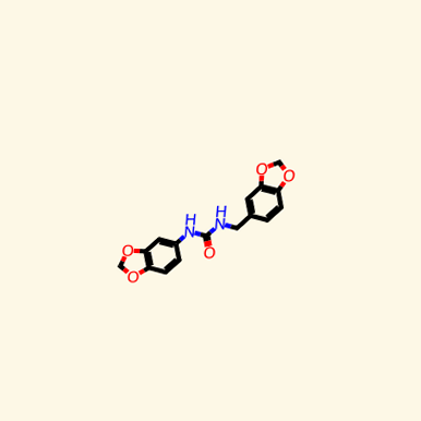 O=C(NCc1ccc2c(c1)OCO2)Nc1ccc2c(c1)OCO2